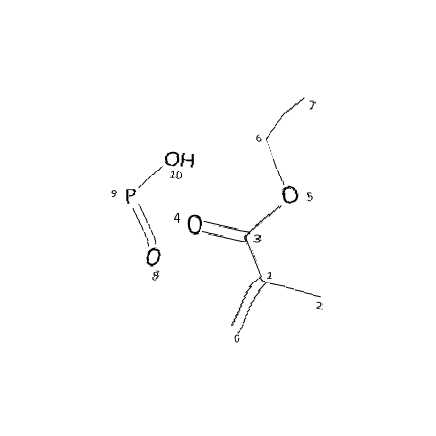 C=C(C)C(=O)OCC.O=PO